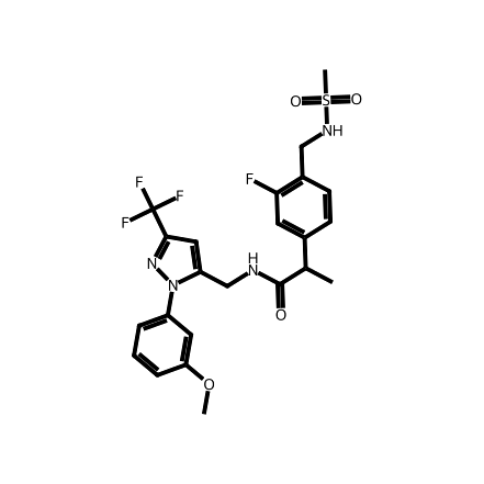 COc1cccc(-n2nc(C(F)(F)F)cc2CNC(=O)C(C)c2ccc(CNS(C)(=O)=O)c(F)c2)c1